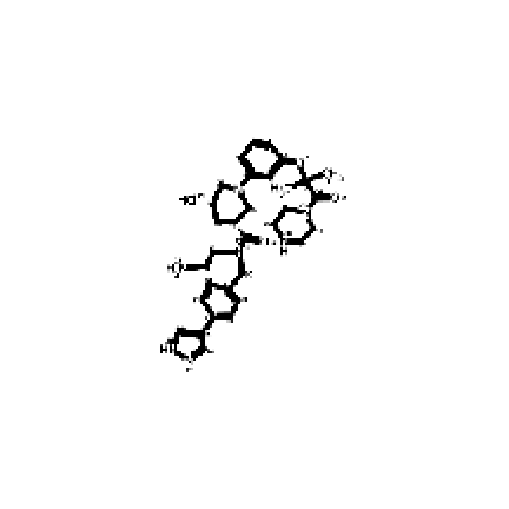 CC(C)(Oc1cccc(N2CCC[C@@H](C(=O)N(CCN)Cc3ccc(-c4cn[nH]c4)cc3)C2)c1)C(=O)N1CCNCC1.Cl